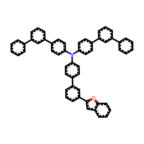 c1ccc(-c2cccc(-c3ccc(N(c4ccc(-c5cccc(-c6ccccc6)c5)cc4)c4ccc(-c5cccc(-c6cc7ccccc7o6)c5)cc4)cc3)c2)cc1